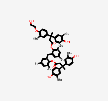 CCc1cc(Cc2cc(CC)cc(C(C)(C)C)c2OC(=O)CC(C)(c2ccc(O)c(C(C)(C)C)c2)c2ccc(OCCO)c(C(C)(C)C)c2)c(OC(=O)CC(C)(c2ccc(O)c(C(C)(C)C)c2)c2ccc(O)c(C(C)(C)C)c2)c(C(C)(C)C)c1